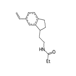 C=Cc1ccc2c(c1)C(CCNC(=O)CC)CC2